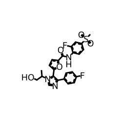 CC(CO)n1cnc(-c2ccc(F)cc2)c1-c1ccc(C(=O)Nc2ccc(S(C)(=O)=O)cc2F)o1